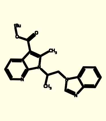 Cc1c(C(=O)OC(C)(C)C)c2cccnc2n1C(C)Cn1cnc2ccccc21